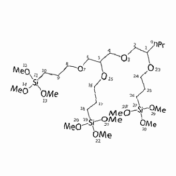 CCCC(COCC(COCCC[Si](OC)(OC)OC)OCCC[Si](OC)(OC)OC)OCCC[Si](OC)(OC)OC